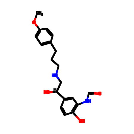 COc1ccc(CCCNC[C@H](O)c2ccc(O)c(NC=O)c2)cc1